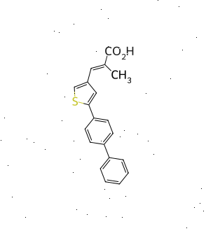 CC(=Cc1csc(-c2ccc(-c3ccccc3)cc2)c1)C(=O)O